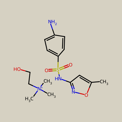 C[N+](C)(C)CCO.Cc1cc(NS(=O)(=O)c2ccc(N)cc2)no1